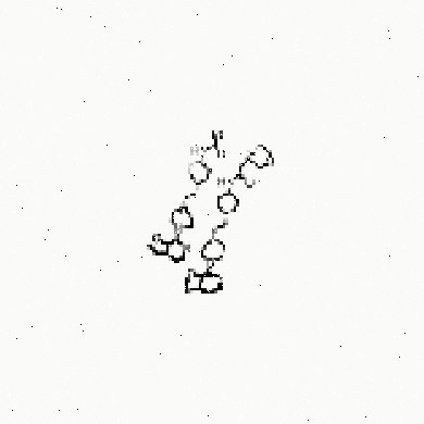 CCC(=O)N[C@H]1CC[C@H](CCN2CCN(c3nccc4ccoc34)CC2)CC1.O=C(CC1COCCO1)N[C@H]1CC[C@H](CCN2CCN(c3nccc4ccoc34)CC2)CC1